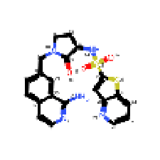 Nc1nccc2ccc(CN3CCC(NS(=O)(=O)c4cc5ncccc5s4)C3=O)cc12